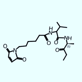 CCC(=O)[C@H](C)NC(=O)C(NC(=O)CCCCCN1C(=O)C=CC1=O)C(C)C